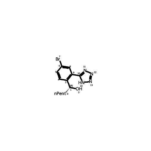 CCCCC[C@@H](O)c1ccc(Br)cc1-c1nnn[nH]1